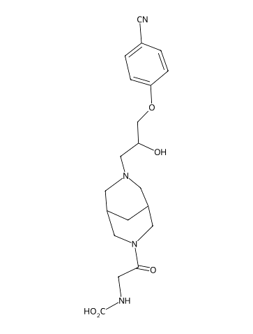 N#Cc1ccc(OCC(O)CN2CC3CC(C2)CN(C(=O)CNC(=O)O)C3)cc1